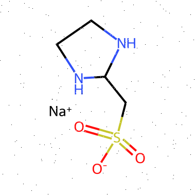 O=S(=O)([O-])CC1NCCN1.[Na+]